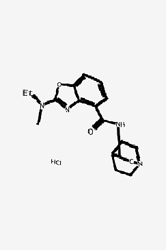 CCN(C)c1nc2c(C(=O)NC3CN4CCC3CC4)cccc2o1.Cl